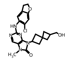 Cn1c(=O)n(C2CC3(CC(CO)C3)C2)c2nc(Nc3cc4c(cc3Cl)OCC4)ncc21